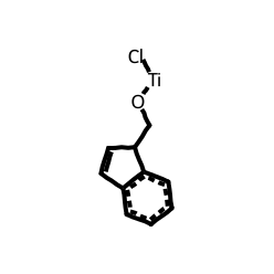 [Cl][Ti][O]CC1C=Cc2ccccc21